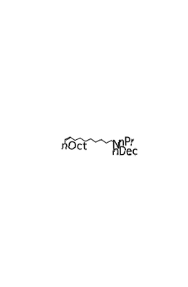 CCCCCCCC/C=C\CCCCCCCCN(CCC)CCCCCCCCCC